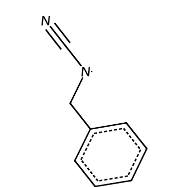 N#C[N]Cc1ccccc1